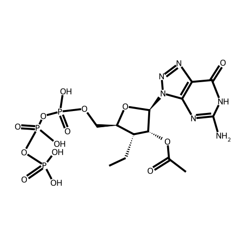 CC[C@H]1[C@@H](OC(C)=O)[C@H](n2nnc3c(=O)[nH]c(N)nc32)O[C@@H]1COP(=O)(O)OP(=O)(O)OP(=O)(O)O